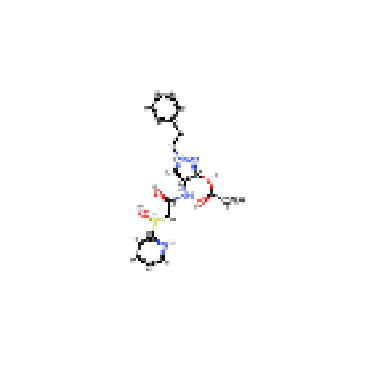 COC(=O)Oc1nn(CCc2ccccc2)cc1NC(=O)C[S+]([O-])c1ccccn1